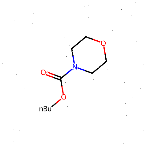 CCCCOC(=O)N1C[CH]OCC1